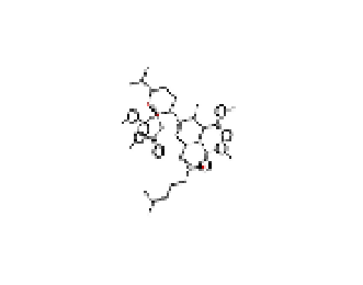 COC(=O)CC1(C(=O)OC)CC2(C(C)C)C=CC1(C1=CC(/C=C(\C)CCC=C(C)C)C(C(=O)OC)C(C(=O)OC)C1C)CC2